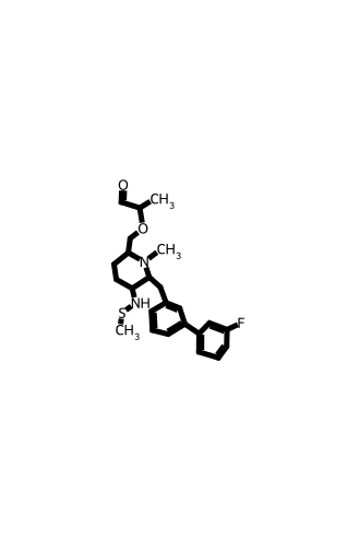 CSNC1CCC(COC(C)C=O)N(C)C1Cc1cccc(-c2cccc(F)c2)c1